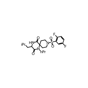 CCCN1C(=O)C(CC(C)C)NC(=O)C12CCN(S(=O)(=O)c1cc(F)ccc1F)CC2